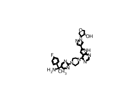 CC(N)(c1ccc(F)cc1)c1cnc(N2CCN(c3ncnc4[nH]c(-c5cnn([C@@H]6COC[C@@H]6O)c5)cc34)CC2)nc1